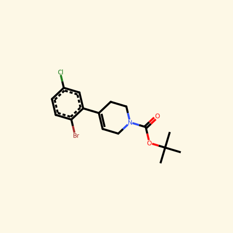 CC(C)(C)OC(=O)N1CC=C(c2cc(Cl)ccc2Br)CC1